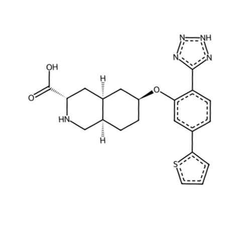 O=C(O)[C@@H]1C[C@H]2C[C@@H](Oc3cc(-c4cccs4)ccc3-c3nn[nH]n3)CC[C@H]2CN1